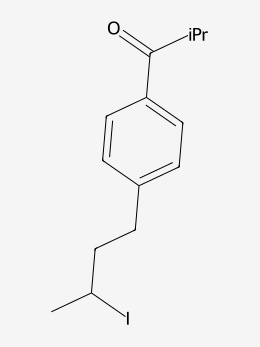 CC(I)CCc1ccc(C(=O)C(C)C)cc1